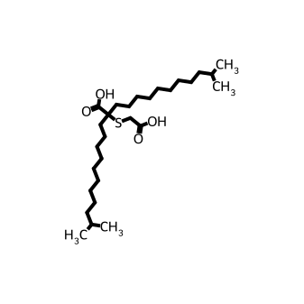 CC(C)CCCCCCCCCC(CCCCCCCCCC(C)C)(SCC(=O)O)C(=O)O